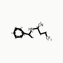 CC(NC(C#N)CCC(F)(F)F)c1ccccc1